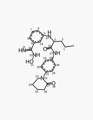 CCCC(Nc1cccc(C(=N)NO)c1)C(=O)Nc1ccc(N2CCCCC2=O)cc1